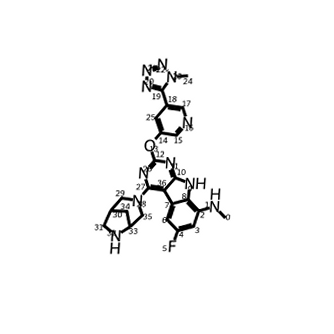 CNc1cc(F)cc2c1[nH]c1nc(Oc3cncc(-c4nnnn4C)c3)nc(N3CC4CNC(C4)C3)c12